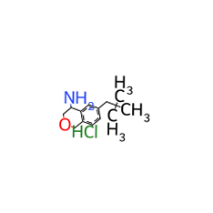 CC(C)(C)Cc1ccc2c(c1)C(N)COC2.Cl